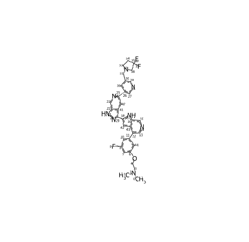 CN(C)CCOc1cc(F)cc(-c2cncc3[nH]c(-c4n[nH]c5cnc(-c6cncc(CN7CCC(F)(F)C7)c6)cc45)cc23)c1